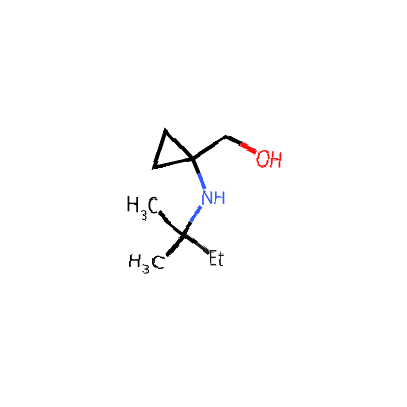 CCC(C)(C)NC1(CO)CC1